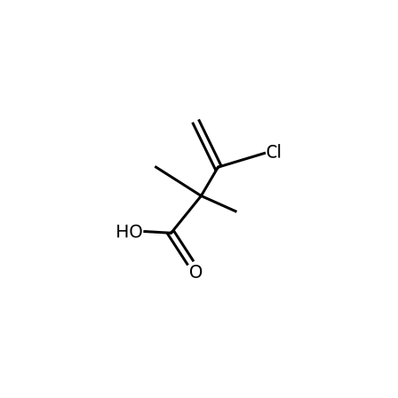 C=C(Cl)C(C)(C)C(=O)O